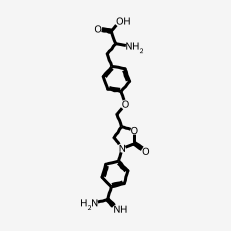 N=C(N)c1ccc(N2CC(COc3ccc(CC(N)C(=O)O)cc3)OC2=O)cc1